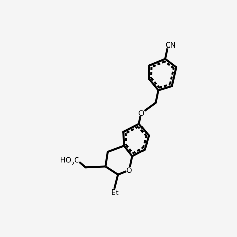 CCC1Oc2ccc(OCc3ccc(C#N)cc3)cc2CC1CC(=O)O